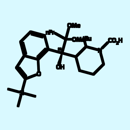 CCCC(OC)(OC)[C@@](O)(c1cccc2cc([Si](C)(C)C)oc12)C1CCCN(C(=O)O)C1C(C)(C)C